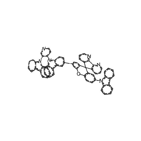 c1cnc2c(c1)C1(c3ccc(-c4ccc5c(c4)c4ccccc4n5-c4ccncc4-n4c5ccccc5c5ccccc54)cc3Oc3ccc(-n4c5ccccc5c5ccccc54)cc31)c1cccnc1-2